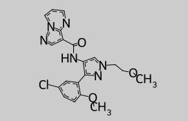 COCCn1cc(NC(=O)c2cnn3cccnc23)c(-c2cc(Cl)ccc2OC)n1